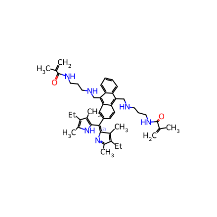 C=C(C)C(=O)NCCCNCc1c2ccccc2c(CNCCCNC(=O)C(=C)C)c2cc(/C(=C3/N=C(C)C(CC)=C3C)c3[nH]c(C)c(CC)c3C)ccc12